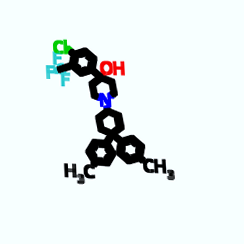 Cc1ccc(C2(c3ccc(C)cc3)C=CC(N3CCC(O)(c4ccc(Cl)c(C(F)(F)F)c4)CC3)CC2)cc1